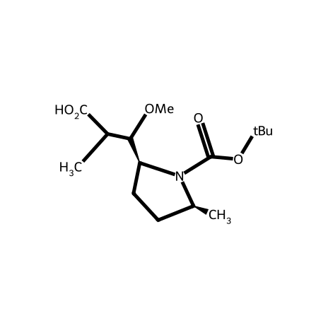 COC(C(C)C(=O)O)[C@@H]1CC[C@H](C)N1C(=O)OC(C)(C)C